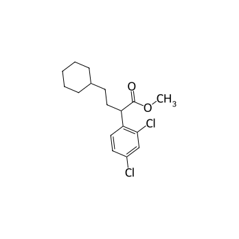 COC(=O)C(CCC1CCCCC1)c1ccc(Cl)cc1Cl